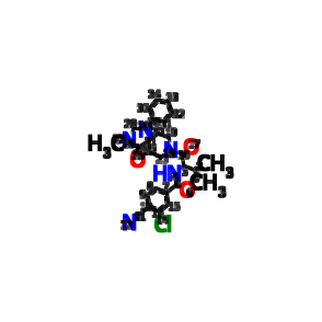 CC(C)C(NC(=O)c1ccc(C#N)c(Cl)c1)C(=O)N1CCC2(CC1)C(=O)N(C)CN2c1ccccc1